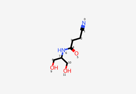 N#CCCC(=O)NC(CO)CO